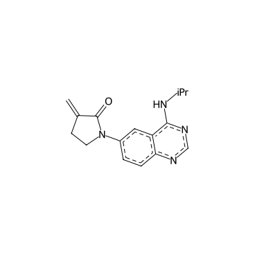 C=C1CCN(c2ccc3ncnc(NC(C)C)c3c2)C1=O